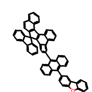 c1ccc2c(c1)-c1ccccc1C21c2ccc3ccccc3c2-c2c1c1ccc(-c3c4ccccc4c(-c4ccc5oc6ccccc6c5c4)c4ccccc34)cc1c1ccccc21